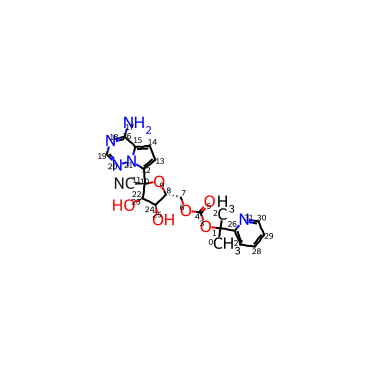 CC(C)(OC(=O)OC[C@H]1O[C@@](C#N)(c2ccc3c(N)ncnn23)[C@H](O)[C@@H]1O)c1ccccn1